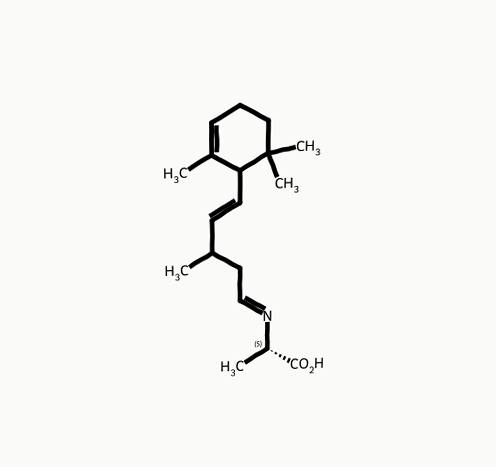 CC1=CCCC(C)(C)C1C=CC(C)CC=N[C@@H](C)C(=O)O